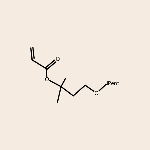 C=CC(=O)OC(C)(C)CCOC(C)CCC